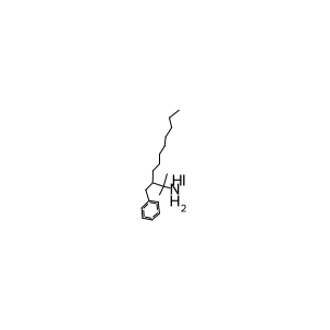 CCCCCCCCC(Cc1ccccc1)C(C)(C)N.I